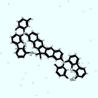 Cc1ccc(C)c(N(c2ccc3cc4c(cc3c2)C(C)(C)c2cc3cc(N(c5cc(C)ccc5C)c5cccc6c5oc5c(C(C)(C)C)cccc56)ccc3cc2-4)c2cccc3c2oc2c(C(C)(C)C)cccc23)c1